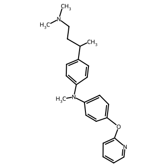 CC(CCN(C)C)c1ccc(N(C)c2ccc(Oc3ccccn3)cc2)cc1